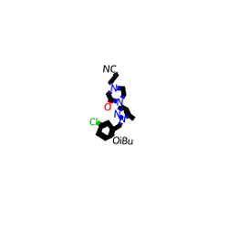 Cc1cc(N2CCN(CCC#N)CC2=O)nn1Cc1cc(Cl)ccc1OCC(C)C